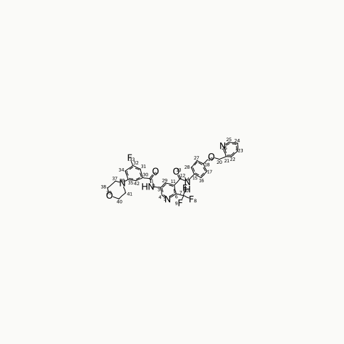 O=C(Nc1cnc(C(F)(F)F)c(C(=O)Nc2ccc(OCc3ccccn3)cc2)c1)c1cc(F)cc(N2CCOCC2)c1